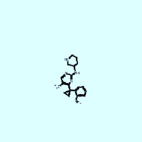 Nc1ccccc1C1(c2nc(NC3CCCNC3)ncc2C(F)(F)F)CC1